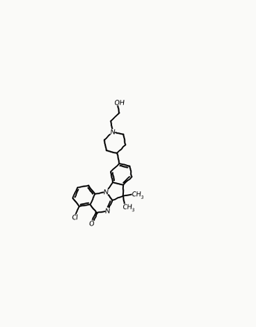 CC1(C)c2ccc(C3CCN(CCO)CC3)cc2-n2c1nc(=O)c1c(Cl)cccc12